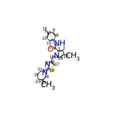 Cc1cc(C(=O)Nc2ccc(I)cc2)n(Cc2csc(N3CCCC(C)C3)n2)c1